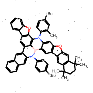 Cc1cc(C(C)(C)C)ccc1N1c2cc3oc4cc5c(cc4c3cc2B2c3c(cc4c(oc6ccccc64)c31)-c1cc3ccccc3cc1N2c1ccc(C(C)(C)C)cc1)C(C)(C)CCC5(C)C